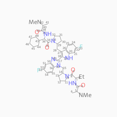 CCC(NC(=O)C(C)NC)C(=O)N1CCCC1Cn1c(-c2[nH]c3cc(F)ccc3c2CC2CCCN2C(=O)C(NC(=O)C(C)NC)C2CCCCC2)nc2cc(F)ccc21